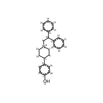 Oc1ccc(C2CCN(CC(c3ccccc3)c3ccccc3)CC2)cc1